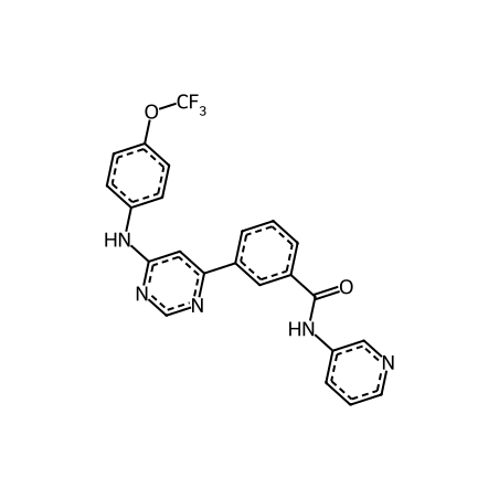 O=C(Nc1cccnc1)c1cccc(-c2cc(Nc3ccc(OC(F)(F)F)cc3)ncn2)c1